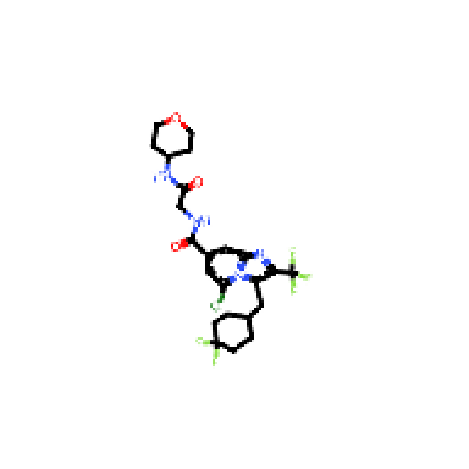 O=C(CNC(=O)c1cc(Cl)n2c(CC3CCC(F)(F)CC3)c(C(F)(F)F)nc2c1)NC1CCOCC1